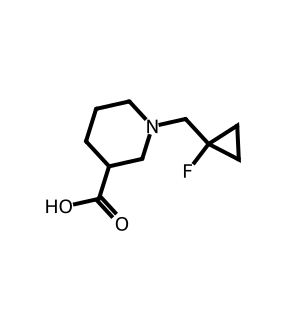 O=C(O)C1CCCN(CC2(F)CC2)C1